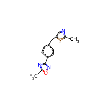 Cc1ncc(Cc2ccc(-c3noc(C(F)(F)F)n3)cc2)s1